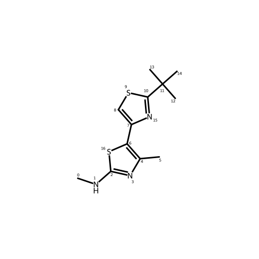 CNc1nc(C)c(-c2csc(C(C)(C)C)n2)s1